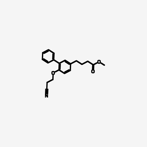 COC(=O)CCCc1ccc(OCCC#N)c(-c2ccccc2)c1